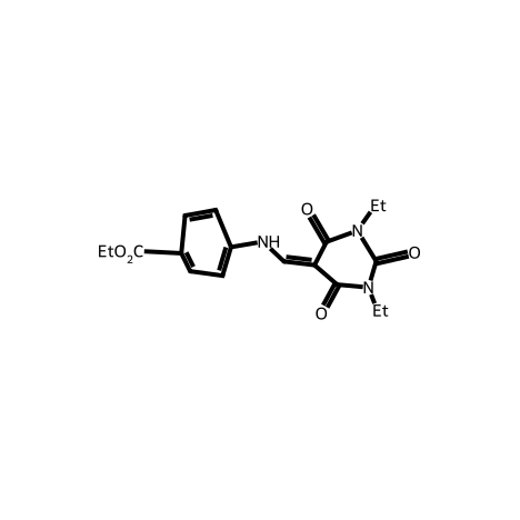 CCOC(=O)c1ccc(NC=C2C(=O)N(CC)C(=O)N(CC)C2=O)cc1